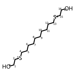 OCCSCCCCCCCCCCSCCO